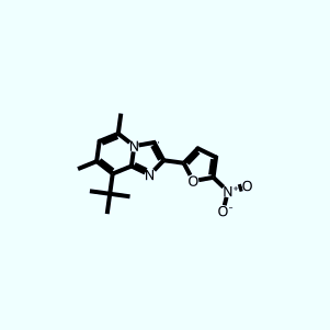 Cc1cc(C)n2[c]c(-c3ccc([N+](=O)[O-])o3)nc2c1C(C)(C)C